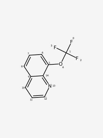 FC(F)(F)Oc1cccc2cc[c]nc12